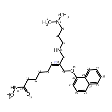 CN(C)CCCNC/C(=C/CCCCC(=O)NO)COc1cccc2ccccc12